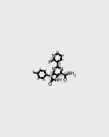 Cc1ccc(-n2c(=O)[nH]c3c(C(N)=O)nc(-c4cccnc4F)nc32)cc1